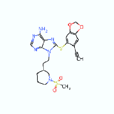 C#Cc1cc2c(cc1Sc1nc3c(N)ncnc3n1CCC1CCCN(S(C)(=O)=O)C1)OCO2